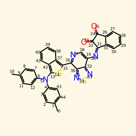 Cc1ccc(N(c2ccc(C)cc2)c2sc(-c3ncc(/N=c4\c(=O)c(=O)c5ccccc45)c4nsnc34)c3ccccc23)cc1